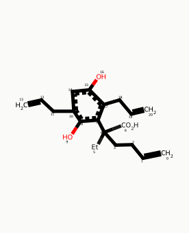 C=CCCC(CC)(C(=O)O)c1c(O)c(CC=C)cc(O)c1CC=C